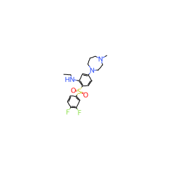 CCNc1cc(N2CCCN(C)CC2)ccc1S(=O)(=O)c1ccc(F)c(F)c1